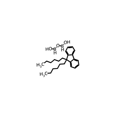 CCCCCCC1(CCCCCC)c2ccccc2-c2ccccc21.OBOBO